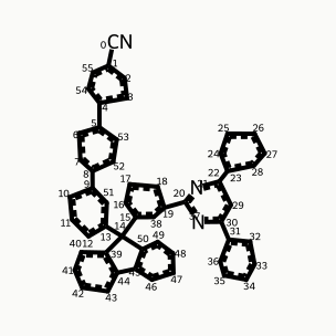 N#Cc1ccc(-c2ccc(-c3cccc(C4(c5cccc(-c6nc(-c7ccccc7)cc(-c7ccccc7)n6)c5)c5ccccc5-c5ccccc54)c3)cc2)cc1